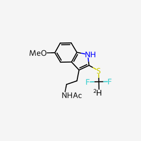 [2H]C(F)(F)Sc1[nH]c2ccc(OC)cc2c1CCNC(C)=O